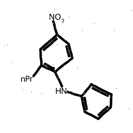 CCCc1cc([N+](=O)[O-])ccc1Nc1ccccc1